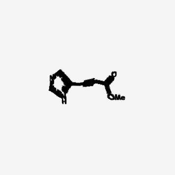 COC(=O)C#Cc1cnc[nH]1